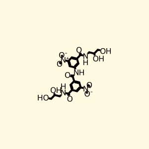 O=C(NCC(O)CO)c1cc(NC(=O)c2cc(C(=O)NCC(O)CO)cc([N+](=O)[O-])c2)cc([N+](=O)[O-])c1